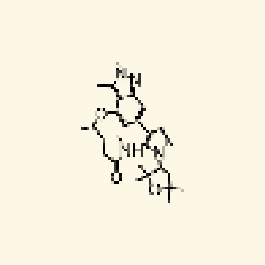 Cc1c2c(O[C@H](C)[C@@H]3CNC(=O)C3)cc(-c3cnn(C4CC(C)(C)OC4(C)C)c3)cc2nn1C